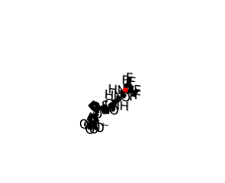 O=C(NCCNS(=O)(=O)c1ccc(-c2ccccc2Oc2ccc([N+](=O)[O-])c([N+](=O)[O-])c2)s1)Nc1cc(C(F)(F)F)cc(C(F)(F)F)c1